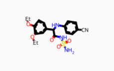 CCOc1ccc(C(Nc2ccc(C#N)cc2)C(=O)NS(N)(=O)=O)cc1OCC